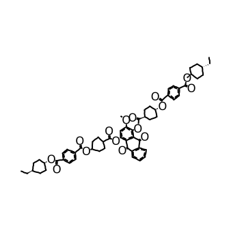 CC[C@H]1CC[C@H](OC(=O)c2ccc(C(=O)OC3CCC(C(=O)Oc4cc(OC)c(OC(=O)[C@H]5CC[C@H](OC(=O)c6ccc(C(=O)O[C@H]7CC[C@H](CC)CC7)cc6)CC5)c5c4C(=O)c4ccccc4C5=O)CC3)cc2)CC1